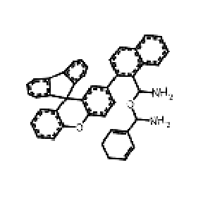 NC(OC(N)c1c(-c2ccc3c(c2)C2(c4ccccc4O3)c3ccccc3-c3ccccc32)ccc2ccccc12)C1=CCCC=C1